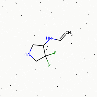 C=CNC1CNCC1(F)F